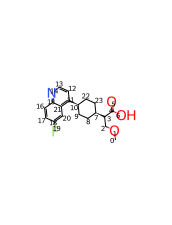 COCC(C(=O)O)[C@H]1CC[C@@H](c2ccnc3ccc(F)cc32)CC1